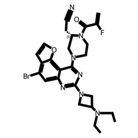 C=C(F)C(=O)N1CCN(c2nc(N3CC(N(CC)CC)C3)nc3cc(Br)c4ccoc4c23)C[C@@H]1CC#N